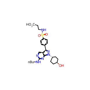 CCCCNc1ncc2c(-c3ccc(S(=O)(=O)NCCC(=O)O)cc3)nn([C@H]3CC[C@H](O)CC3)c2n1